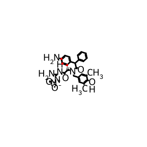 Cc1cc(CN(C(=O)C(c2ccccc2)c2ccccc2)[C@@H](CCCN)C(=O)NC(N)=N[N+](=O)[O-])cc(C)c1O